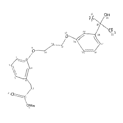 COC(=O)Cc1cccc(OCCCOc2cccc(C(O)(C(F)(F)F)C(F)(F)F)c2)c1